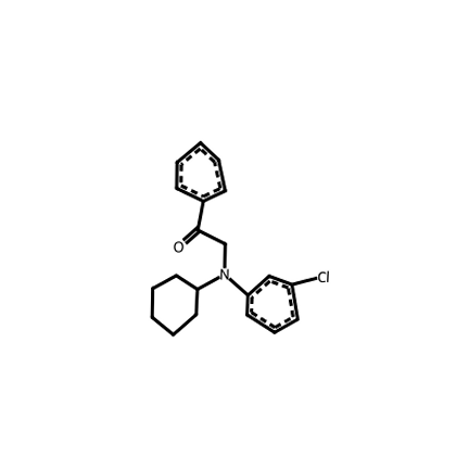 O=C(CN(c1cccc(Cl)c1)C1CCCCC1)c1ccccc1